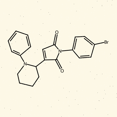 O=C1C=C(C2CCCCN2c2ccccc2)C(=O)N1c1ccc(Br)cc1